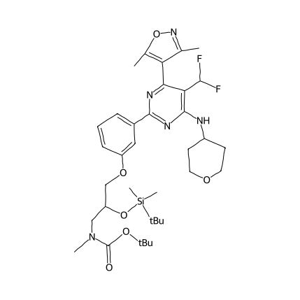 Cc1noc(C)c1-c1nc(-c2cccc(OCC(CN(C)C(=O)OC(C)(C)C)O[Si](C)(C)C(C)(C)C)c2)nc(NC2CCOCC2)c1C(F)F